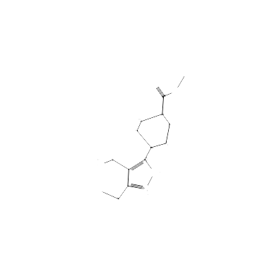 COC(=O)C1CCC(c2onc(CO)c2CO)CC1